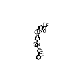 Cc1ccc(C(F)(F)F)c(=O)n1CC(=O)N1CCC(c2nc(C3=NOC(c4ccccc4F)C3)cs2)CC1